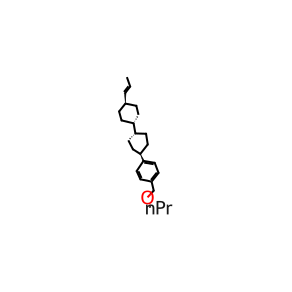 CC=C[C@H]1CC[C@H]([C@H]2CC[C@H](c3ccc(COCCC)cc3)CC2)CC1